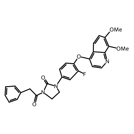 COc1ccc2c(Oc3ccc(N4CCN(C(=O)Cc5ccccc5)C4=O)cc3F)ccnc2c1OC